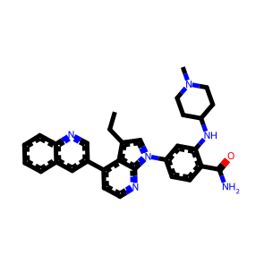 CCc1cn(-c2ccc(C(N)=O)c(NC3CCN(C)CC3)c2)c2nccc(-c3cnc4ccccc4c3)c12